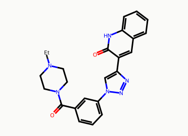 CCN1CCN(C(=O)c2cccc(-n3cc(-c4cc5ccccc5[nH]c4=O)nn3)c2)CC1